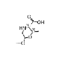 COC1CN[C@H](C(=O)O)[C@@H](C)O1